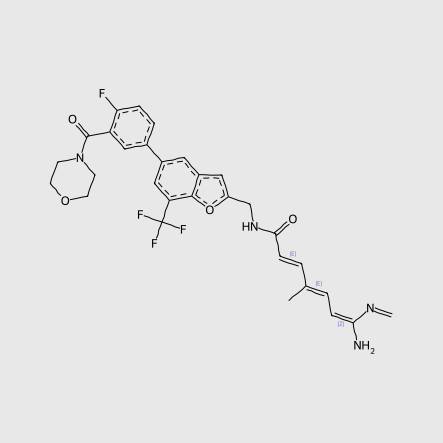 C=N\C(N)=C/C=C(C)/C=C/C(=O)NCc1cc2cc(-c3ccc(F)c(C(=O)N4CCOCC4)c3)cc(C(F)(F)F)c2o1